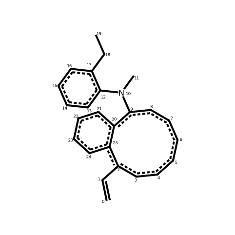 C=Cc1ccccccc(N(C)c2ccccc2CC)c2ccccc12